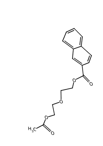 CC(=O)OCCOCCOC(=O)c1ccc2ccccc2c1